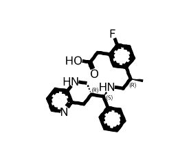 C[C@@H](CN[C@H](c1ccccc1)[C@H]1CNc2cccnc2C1)c1ccc(F)c(CC(=O)O)c1